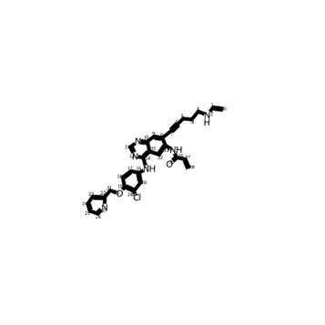 C=CNCCCC#Cc1cc2ncnc(Nc3ccc(OCc4ccccn4)c(Cl)c3)c2cc1NC(=O)C=C